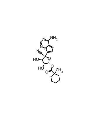 CC1(C(=O)O[C@H]2O[C@@](C#N)(c3ccc4c(N)ncnn34)[C@H](O)[C@@H]2O)CCCCC1